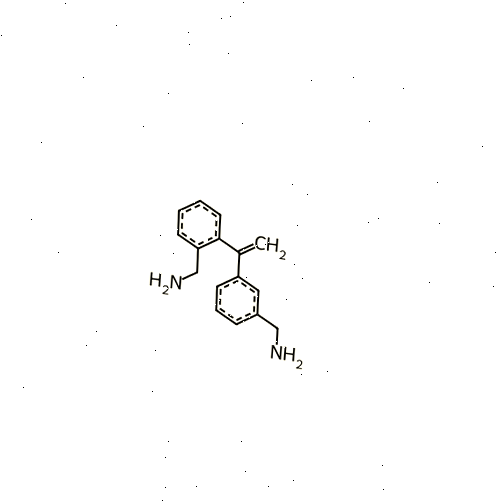 C=C(c1cccc(CN)c1)c1ccccc1CN